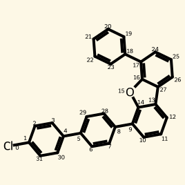 Clc1ccc(-c2ccc(-c3cccc4c3oc3c(-c5ccccc5)cccc34)cc2)cc1